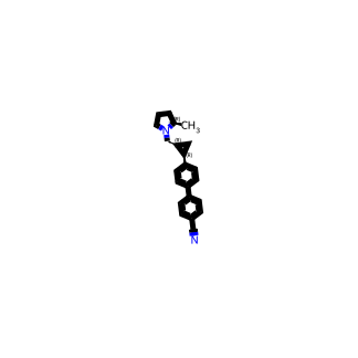 C[C@@H]1CCCN1C[C@@H]1C[C@H]1c1ccc(-c2ccc(C#N)cc2)cc1